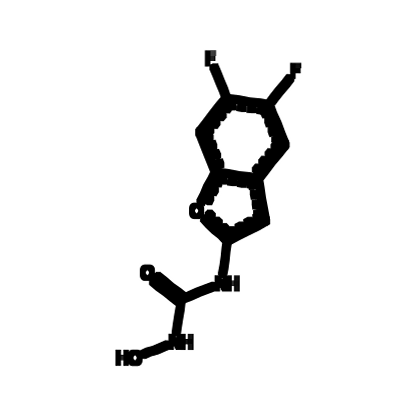 O=C(NO)Nc1cc2cc(F)c(F)cc2o1